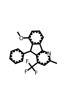 COc1cccc2c1C(c1ccccc1)c1c(C(F)(F)F)cc(C)nc1-2